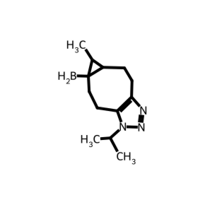 BC12CCc3c(nnn3C(C)C)CCC1C2C